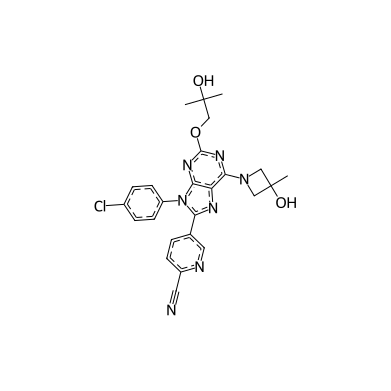 CC(C)(O)COc1nc(N2CC(C)(O)C2)c2nc(-c3ccc(C#N)nc3)n(-c3ccc(Cl)cc3)c2n1